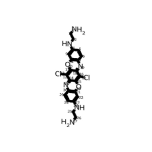 NCCNc1ccc2c(c1)Oc1c(Cl)c3c(c(Cl)c1=N2)Oc1cc(NCCN)ccc1N=3